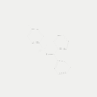 O=S(=O)(NN(c1ccccc1)c1ccccc1)c1ccc(F)cc1